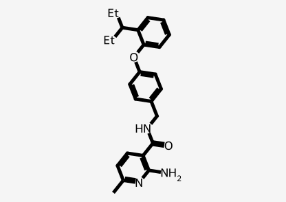 CCC(CC)c1ccccc1Oc1ccc(CNC(=O)c2ccc(C)nc2N)cc1